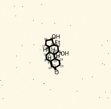 CC[C@]12C[C@@H](O)[C@H]3[C@@H](CCC4=CC(=O)CC[C@@H]43)[C@@H]1CC[C@@H]2O